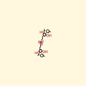 C=C(C)[C@@H]1CCC(C)=C[C@H]1c1c(O)cc(CCCO[N+](=O)OCCCc2cc(O)c([C@@H]3C=C(C)CC[C@H]3C(=C)C)c(O)c2)cc1O